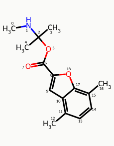 CNC(C)(C)OC(=O)c1cc2c(C)ccc(C)c2o1